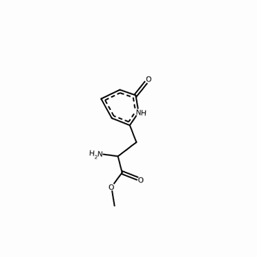 COC(=O)C(N)Cc1cccc(=O)[nH]1